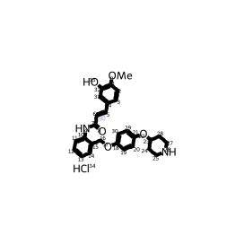 COc1ccc(/C=C/C(=O)Nc2ccccc2COc2ccc(OC3CCNCC3)cc2)cc1O.Cl